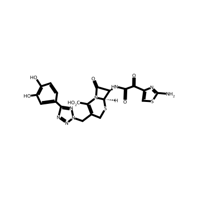 Nc1nc(C(=O)C(=O)N[C@@H]2C(=O)N3C(C(=O)O)=C(Cn4nnc(-c5ccc(O)c(O)c5)n4)CS[C@H]23)cs1